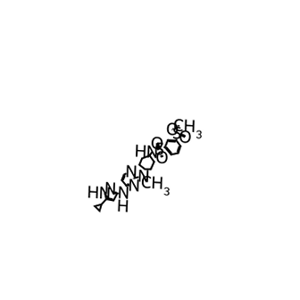 CN(c1nccc(Nc2cc(C3CC3)[nH]n2)n1)C1CCC(NS(=O)(=O)c2cccc(S(C)(=O)=O)c2)CC1